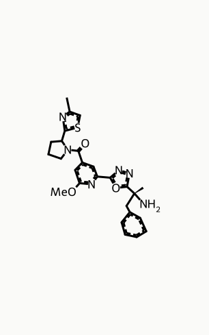 COc1cc(C(=O)N2CCCC2c2nc(C)cs2)cc(-c2nnc([C@](C)(N)Cc3ccccc3)o2)n1